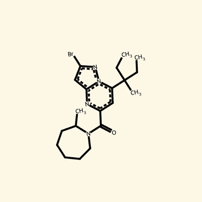 CCC(C)(CC)c1cc(C(=O)N2CCCCCC2C)nc2cc(Br)nn12